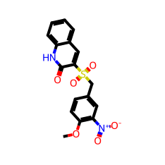 COc1ccc(CS(=O)(=O)c2cc3ccccc3[nH]c2=O)cc1[N+](=O)[O-]